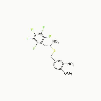 COc1ccc(CSC(=Cc2c(F)c(F)c(F)c(F)c2F)[N+](=O)[O-])cc1[N+](=O)[O-]